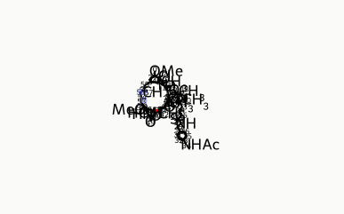 COc1cc2cc(c1Cl)N(C)C(=O)C[C@H](OC(=O)[C@H](C)N(C)C(=O)CCSC(=S)NCc1ccc(NC(C)=O)cc1)[C@]1(C)OC1[C@H](C)[C@@H]1C[C@@](O)(NC(=O)O1)[C@H](OC)/C=C/C=C(\C)C2